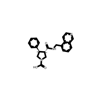 O=C(NCc1cccc2cnccc12)[C@@H]1CN(C(=O)O)C[C@H]1c1ccccc1